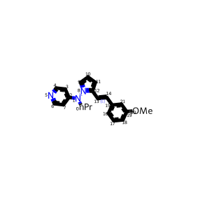 CCCN(c1ccncc1)n1cccc1/C=C/c1cccc(OC)c1